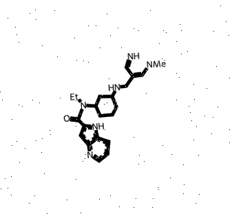 CCN(C(=O)c1cc2ncccc2[nH]1)C1CCCC(NC/C(C=N)=C/NC)C1